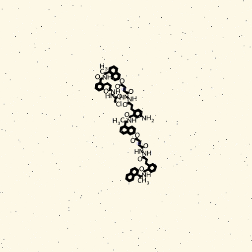 C[C@@H](NC(=O)c1ccccc1CCC(=O)NNC(=O)/C=C/C(=O)Oc1ccc2c([C@@H](C)NC(=O)c3cc(N)ccc3CCC(=O)NNC(=O)/C=C/C(=O)Oc3ccc4c([C@@H](C)NC(=O)c5ccccc5CCC(=O)NNC(=O)CCl)cccc4c3)cccc2c1)c1cccc2ccccc12